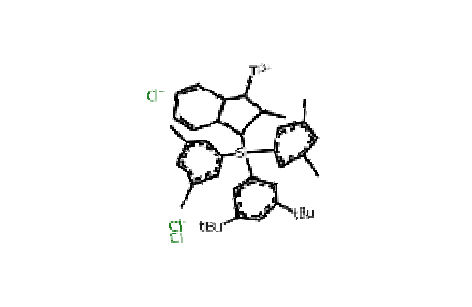 Cc1cc(C)cc([Si](c2cc(C)cc(C)c2)(c2cc(C(C)(C)C)cc(C(C)(C)C)c2)C2C(C)[CH]([Ti+3])C3C=CC=CC32)c1.[Cl-].[Cl-].[Cl-]